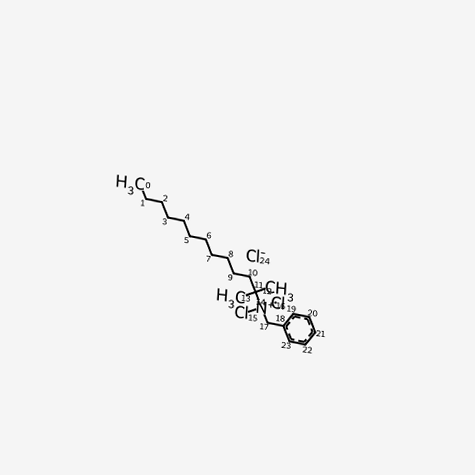 CCCCCCCCCCCC(C)(C)[N+](Cl)(Cl)Cc1ccccc1.[Cl-]